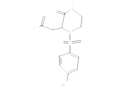 COc1ccc(S(=O)(=O)N2CCNC(=O)C2CC(=O)O)cc1